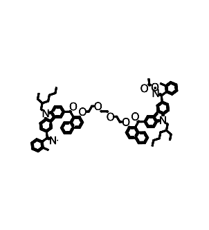 CCCCC(CC)Cn1c2ccc(C(=[N])c3ccccc3C)cc2c2cc(C(=O)c3c(OCCOCCOCCOc4ccc5ccccc5c4C(=O)c4ccc5c(c4)c4cc(C(=NOC(C)=O)c6ccccc6C)ccc4n5CC(CC)CCCC)ccc4ccccc34)ccc21